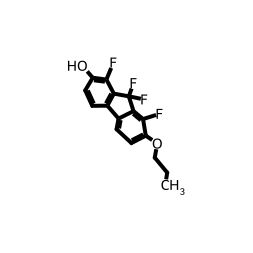 CCCOc1ccc2c(c1F)C(F)(F)c1c-2ccc(O)c1F